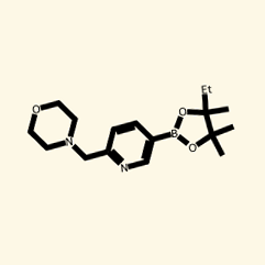 CCC1(C)OB(c2ccc(CN3CCOCC3)nc2)OC1(C)C